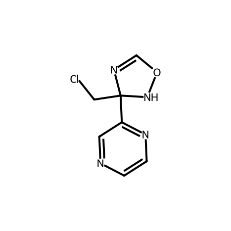 ClCC1(c2cnccn2)N=CON1